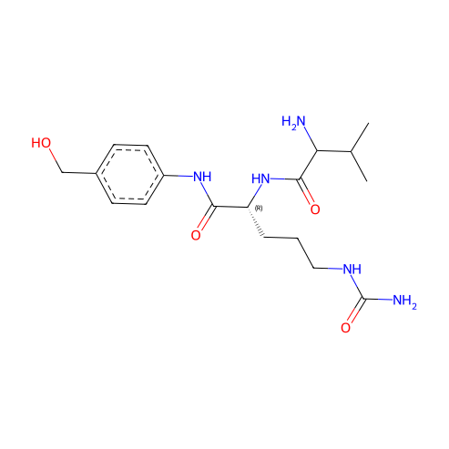 CC(C)C(N)C(=O)N[C@H](CCCNC(N)=O)C(=O)Nc1ccc(CO)cc1